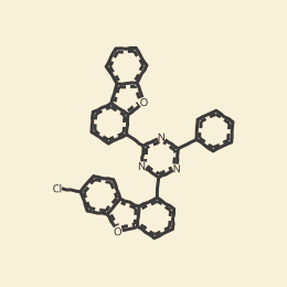 Clc1ccc2c(c1)oc1cccc(-c3nc(-c4ccccc4)nc(-c4cccc5c4oc4ccccc45)n3)c12